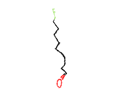 O=CCCCCCCCF